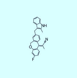 C/C(C#N)=C1/c2ccc(Cc3c(C)[nH]c4ccccc34)cc2COc2cc(F)ccc21